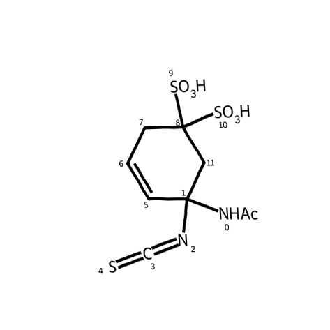 CC(=O)NC1(N=C=S)C=CCC(S(=O)(=O)O)(S(=O)(=O)O)C1